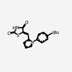 CC(C)(C)c1ccc(-n2cccc2/C=C2\SC(=O)NC2=O)cc1